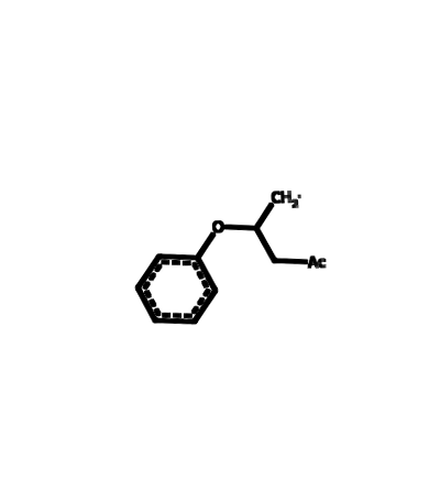 [CH2]C(CC(C)=O)Oc1ccccc1